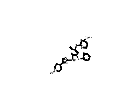 C=C/C(=C\C(Oc1ccccc1)=C(/C)Nc1nc(C2CCN(C(C)=O)CC2)cs1)Sc1nccc(OC)n1